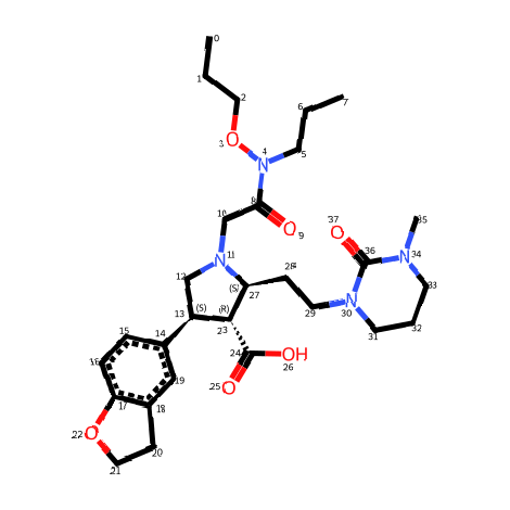 CCCON(CCC)C(=O)CN1C[C@H](c2ccc3c(c2)CCO3)[C@@H](C(=O)O)[C@@H]1CCN1CCCN(C)C1=O